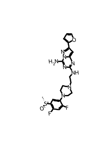 C[S@@+]([O-])c1cc(N2CCN(CCNc3nc(N)n4nc(-c5ccco5)cc4n3)CC2)c(F)cc1F